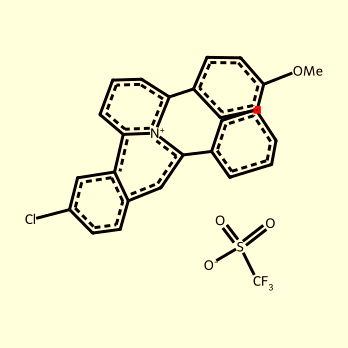 COc1ccc(-c2cccc3c4cc(Cl)ccc4cc(-c4ccccc4)[n+]23)cc1.O=S(=O)([O-])C(F)(F)F